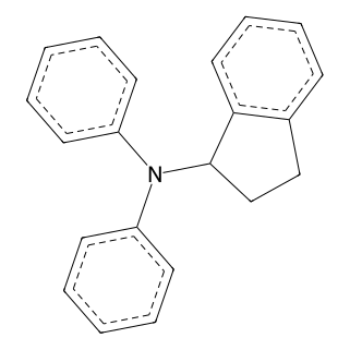 c1ccc(N(c2ccccc2)C2CCc3ccccc32)cc1